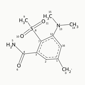 [CH2]c1cc(C(N)=O)c(S(C)(=O)=O)c(N(C)C)c1